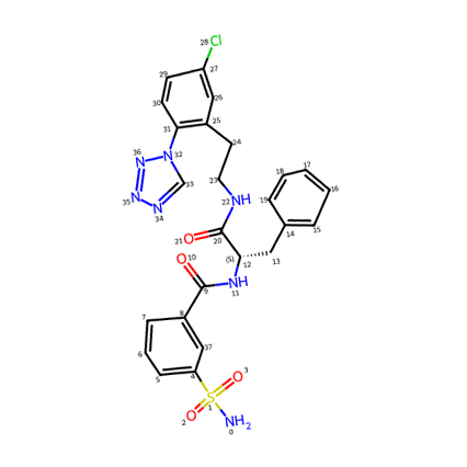 NS(=O)(=O)c1cccc(C(=O)N[C@@H](Cc2ccccc2)C(=O)NCCc2cc(Cl)ccc2-n2cnnn2)c1